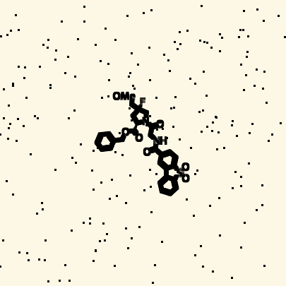 COC[C@@]1(F)C[C@@H](C(=O)OCc2ccccc2)N(C(=O)CNC(=O)c2ccc3c(c2)-c2ccccc2S3(=O)=O)C1